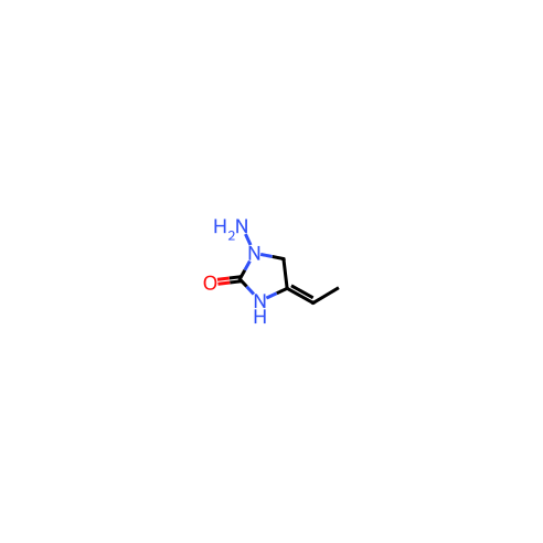 C/C=C1\CN(N)C(=O)N1